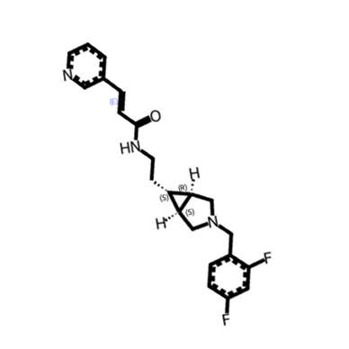 O=C(/C=C/c1cccnc1)NCC[C@@H]1[C@H]2CN(Cc3ccc(F)cc3F)C[C@@H]12